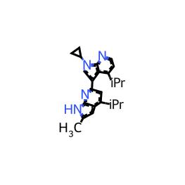 Cc1cc2c(C(C)C)cc(-c3cn(C4CC4)c4nccc(C(C)C)c34)nc2[nH]1